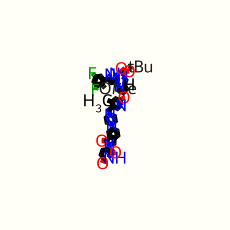 COc1c(F)cc(F)cc1-c1cc2c(nn1)N(C(=O)OC(C)(C)C)C[C@H]1C[C@@H](Oc3cc(C)c(CN4CCN(c5ccc6c(c5)C(=O)N(C5CCC(=O)NC5=O)C6)CC4)cn3)CN21